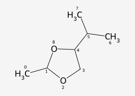 CC1OCC(C(C)C)O1